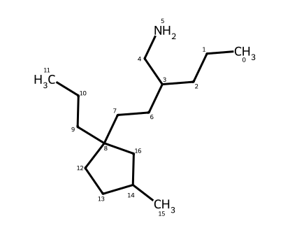 CCCC(CN)CCC1(CCC)CCC(C)C1